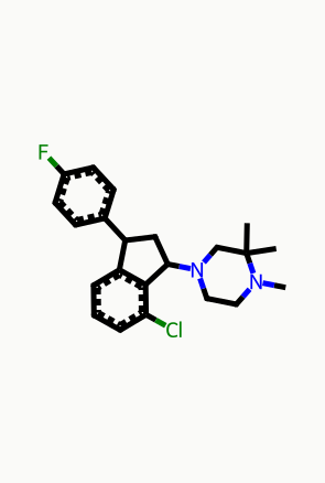 CN1CCN(C2CC(c3ccc(F)cc3)c3cccc(Cl)c32)CC1(C)C